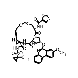 CC1(S(=O)(=O)NC(=O)[C@@]23C[C@H]2/C=C\CCCCC[C@H](NC(=O)c2cncs2)C(=O)N2C[C@H](Oc4nc5ccccc5c5ccc(OC(F)(F)F)cc45)C[C@H]2C(=O)N3)CC1